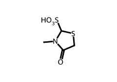 CN1C(=O)CSC1S(=O)(=O)O